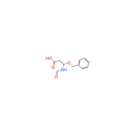 O=CNC(CC(=O)O)OCc1ccccc1